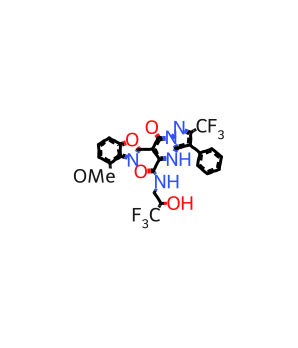 COc1cccc2oc(-c3c(C(=O)NCC(O)C(F)(F)F)[nH]c4c(-c5ccccc5)c(C(F)(F)F)nn4c3=O)nc12